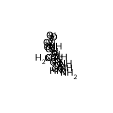 NC1NC(=O)C2=C(NCC(CNc3ccc(C(=O)N[C@@H](CCC(=O)[O-])C(=O)[O-])cc3)N2C=O)N1.O.[Ca+2]